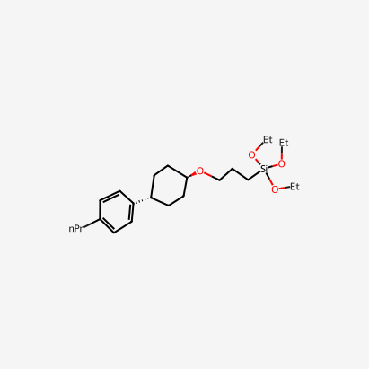 CCCc1ccc([C@H]2CC[C@H](OCCC[Si](OCC)(OCC)OCC)CC2)cc1